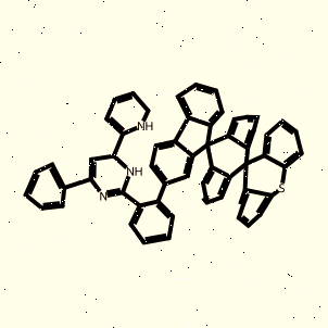 C1=CCNC(C2C=C(c3ccccc3)N=C(c3ccccc3-c3ccc4c(c3)C3(c5ccccc5-4)c4ccccc4C4(c5ccccc5Sc5ccccc54)c4ccccc43)N2)=C1